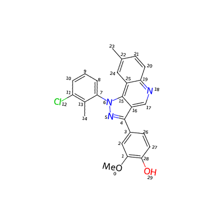 COc1cc(-c2nn(-c3cccc(Cl)c3C)c3c2cnc2ccc(C)cc23)ccc1O